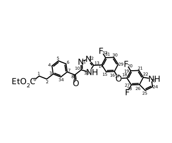 CCOC(=O)CCc1cccc(C(=O)c2nnc(-c3cc(Oc4c(F)cc5[nH]ccc5c4F)ccc3F)[nH]2)c1